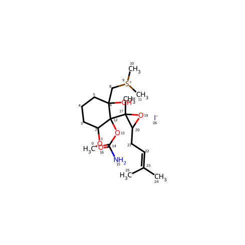 COC1CCCC(O)(C[S+](C)C)C1(OC(N)=O)C1(C)OC1CC=C(C)C.[I-]